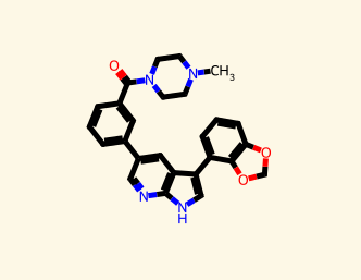 CN1CCN(C(=O)c2cccc(-c3cnc4[nH]cc(-c5cccc6c5OCO6)c4c3)c2)CC1